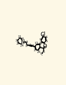 [CH2]CC(Oc1ccc(Cl)cc1)c1ccc(C#CCCN2CCCCC2)cc1